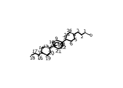 CCCCC1CCC(C23CCC([C@H]4CC[C@H](CCC)CC4)(CC2)CC3)CC1